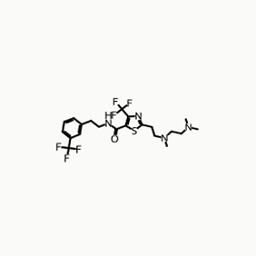 CN(C)CCN(C)CCc1nc(C(F)(F)F)c(C(=O)NCCc2cccc(C(F)(F)F)c2)s1